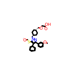 COCSc1c(-c2ccccc2)c(-c2cccc(OC)c2)nn1C[C@H]1CC[C@@H](COCC(=O)O)CC1